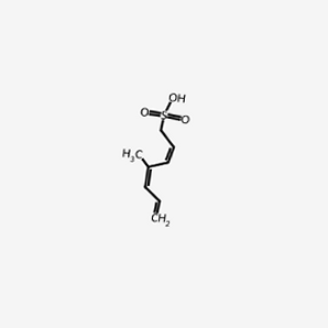 C=C/C=C(C)\C=C/CS(=O)(=O)O